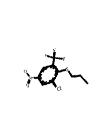 CCCSc1c(Cl)cc([N+](=O)[O-])cc1C(F)(F)F